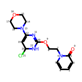 O=c1ccccn1CCOC1=NC(N2CCOCC2)=CC(Cl)N1